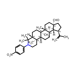 C=C(C)[C@@H]1CC[C@]2(C=O)CC[C@]3(C)[C@H](CC[C@@H]4[C@@]5(C)CCN(c6ccc([N+](=O)[O-])cc6)C(C)(C)[C@@H]5CC[C@]43C)[C@@H]12